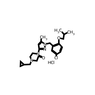 Cc1cc(N2CCN(CC3CC3)CC2=O)nn1Cc1cc(Cl)ccc1OCC(C)C.Cl